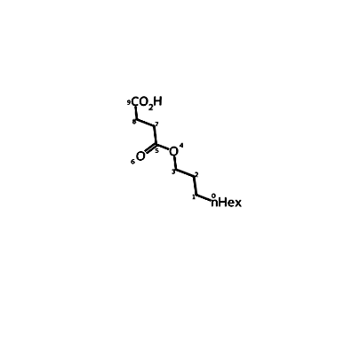 CCCCCCCCCOC(=O)CCC(=O)O